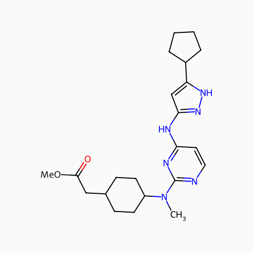 COC(=O)CC1CCC(N(C)c2nccc(Nc3cc(C4CCCC4)[nH]n3)n2)CC1